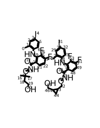 Cc1cc(I)ccc1Nc1c(C(=O)NOC(C)(C)CCO)ccc(F)c1F.Cc1cc(I)ccc1Nc1c(C(=O)NOCC2CC2CO)ccc(F)c1F